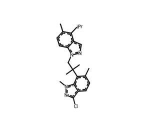 Cc1ccc2c(cnn2CC(C)(C)c2c(C)ccc3c(Cl)nn(C)c23)c1C(C)C